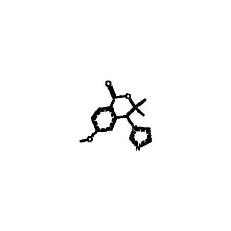 COc1ccc2c(c1)C(n1ccnc1)C(C)(C)OC2=O